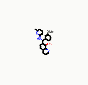 COc1cccc([C@@H](Nc2cccc(C)n2)c2ccc3cccnc3c2O)c1